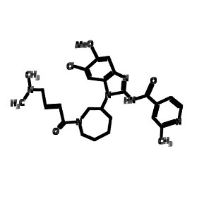 COc1cc2nc(NC(=O)c3ccnc(C)c3)n(C3CCCCN(C(=O)/C=C/CN(C)C)C3)c2cc1Cl